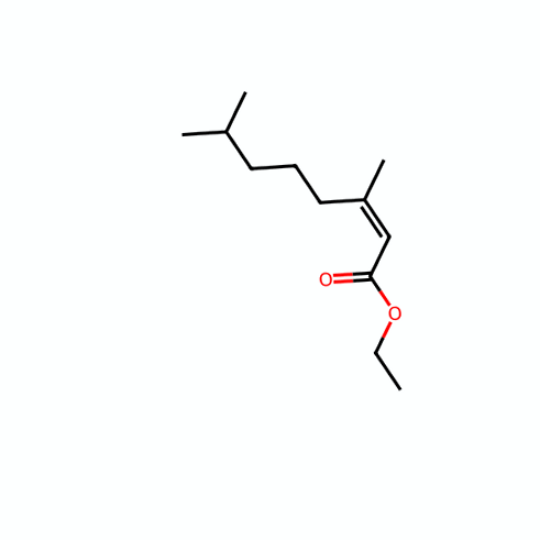 CCOC(=O)C=C(C)CCCC(C)C